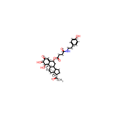 CC(=O)[C@H]1CCC2C3C[C@H](OC(=O)CCC(=O)NCCc4ccc(O)cc4)C4=CC(=O)C(O)C(O)[C@]4(C)C3CC[C@@]21C